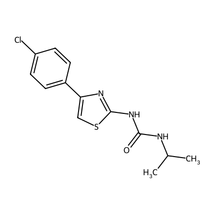 CC(C)NC(=O)Nc1nc(-c2ccc(Cl)cc2)cs1